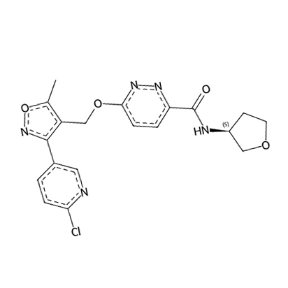 Cc1onc(-c2ccc(Cl)nc2)c1COc1ccc(C(=O)N[C@H]2CCOC2)nn1